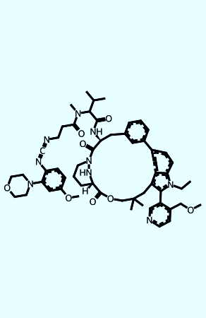 CCn1c(-c2cnccc2COC)c2c3cc(ccc31)-c1cccc(c1)C[C@H](NC(=O)C(C(C)C)N(C)C(=O)CCN=C=Nc1ccc(OC)cc1N1CCOCC1)C(=O)N1CCC[C@H](N1)C(=O)OCC(C)(C)C2